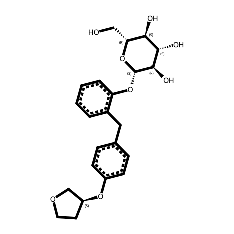 OC[C@H]1O[C@@H](Oc2ccccc2Cc2ccc(O[C@H]3CCOC3)cc2)[C@H](O)[C@@H](O)[C@@H]1O